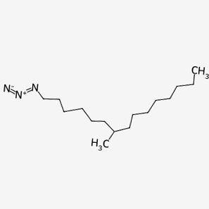 CCCCCCCCC(C)CCCCCCN=[N+]=[N-]